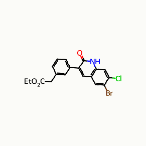 CCOC(=O)Cc1cccc(-c2cc3cc(Br)c(Cl)cc3[nH]c2=O)c1